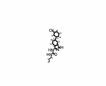 CCCNC(=O)Nc1n[nH]c2cc(-c3cccc(Cl)c3)ccc12